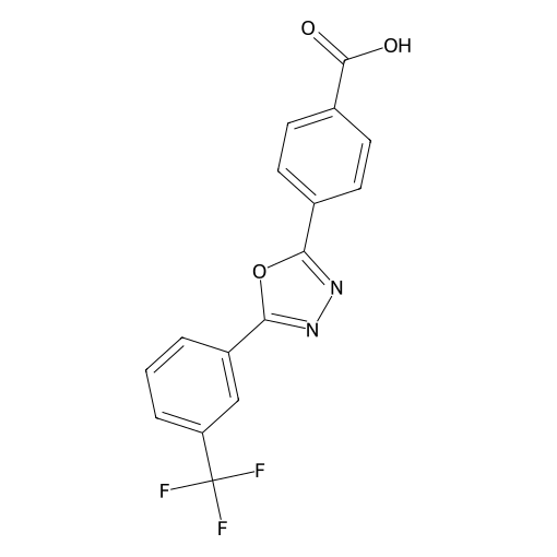 O=C(O)c1ccc(-c2nnc(-c3cccc(C(F)(F)F)c3)o2)cc1